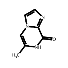 Cc1cn2ccnc2c(=O)[nH]1